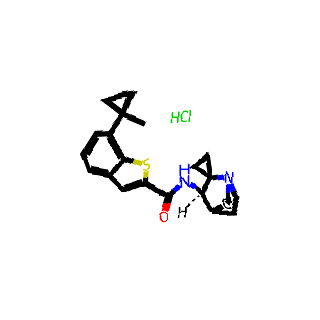 CC1(c2cccc3cc(C(=O)N[C@@H]4C5CCN(CC5)C45CC5)sc23)CC1.Cl